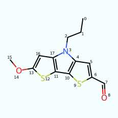 CCCn1c2cc(C=O)sc2c2sc(OC)cc21